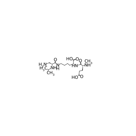 CN[C@@H](CCC(=O)O)C(=O)NC(CCCCNC(=O)[C@H](CN)NC(C)C)C(=O)O